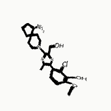 COc1ccc(-c2nc(CO)c(N3CCC4(CCC[C@H]4N)CC3)nc2C)c(Cl)c1O